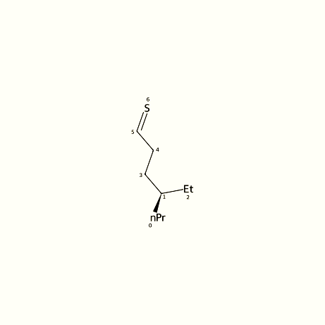 CCC[C@H](CC)CCC=S